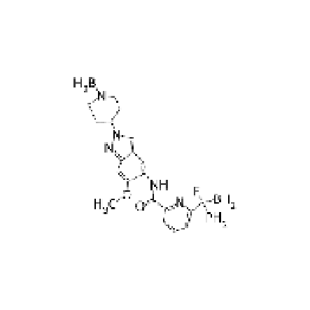 BN1CCC(n2cc3cc(NC(=O)c4cccc(C(B)(F)P)n4)c(OC)cc3n2)CC1